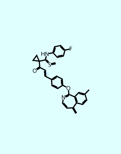 C=S=C(Nc1ccc(F)cc1)C1(C(=O)/C=C/c2ccc(OC3=NC=CC(=C)c4ccc(C)cc43)cc2)CC1